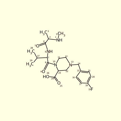 CNC(C)C(=O)NC(C(=O)N1CCN(Cc2ccc(F)cc2)CC1C(=O)O)C(C)C